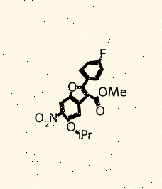 COC(=O)c1c(-c2ccc(F)cc2)oc2cc([N+](=O)[O-])c(OC(C)C)cc12